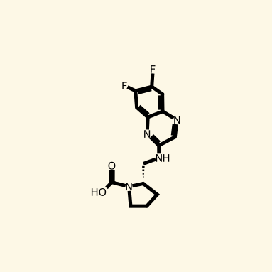 O=C(O)N1CCC[C@H]1CNc1cnc2cc(F)c(F)cc2n1